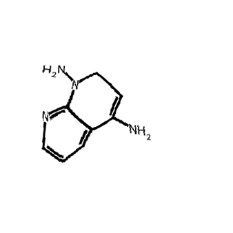 NC1=CCN(N)c2ncccc21